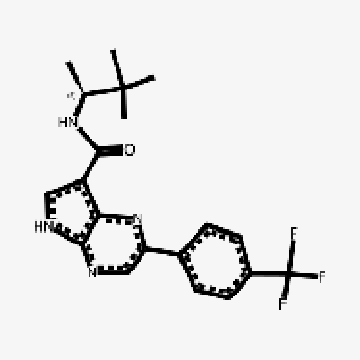 C[C@H](NC(=O)c1c[nH]c2ncc(-c3ccc(C(F)(F)F)cc3)nc12)C(C)(C)C